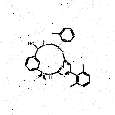 Cc1ccccc1[C@H]1CNC(O)c2cccc(c2)S(=O)(=O)Nc2nc(cc(-c3c(C)cccc3C)n2)O1